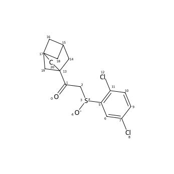 O=C(C[S+]([O-])c1cc(Cl)ccc1Cl)C12CC3CC(C3)(C1)C2